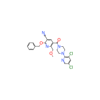 COCc1nc(OCc2ccccc2)c(C#N)cc1C(=O)N1CCN(c2ncc(Cl)cc2Cl)CC1